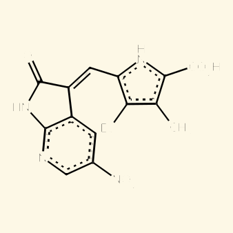 CCc1c(C=C2C(=O)Nc3ncc([N+](=O)[O-])cc32)[nH]c(C(=O)O)c1C